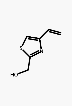 C=Cc1csc(CO)n1